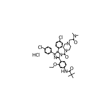 CCOc1cc(NC(=O)C(C)(C)C)ccc1C1=N[C@@H](c2ccc(Cl)cc2)[C@@H](c2ccc(Cl)cc2)N1C(=O)N1CCN(CC(=O)N(C)C)CC1.Cl